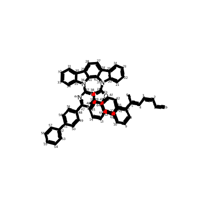 C=C/C=C\C=C(/C)c1cccc(-c2cccc3nc(-n4c5ccccc5c5ccc6c7ccccc7n(-c7nc(-c8ccccc8)nc(-c8ccc(-c9ccccc9)cc8)n7)c6c54)oc23)c1